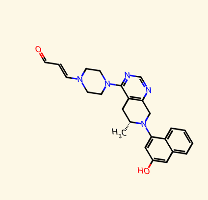 C[C@@H]1Cc2c(ncnc2N2CCN(C=CC=O)CC2)CN1c1cc(O)cc2ccccc12